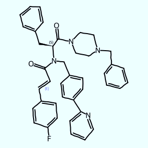 O=C([C@H](Cc1ccccc1)N(Cc1ccc(-c2ccccn2)cc1)C(=O)/C=C/c1ccc(F)cc1)N1CCN(Cc2ccccc2)CC1